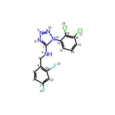 Fc1ccc(CNc2nnnn2-c2cccc(Cl)c2Cl)c(F)c1